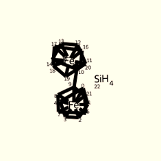 [CH]12[CH]3[CH]4[CH]5[CH]1[Fe]23451678[CH]2[CH]1[CH]6[C]7([C]13[CH]4[CH]5[CH]6[CH]1[Fe]5643179%10[CH]3[CH]1[CH]7[CH]9[CH]3%10)[CH]28.[SiH4]